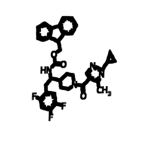 Cc1nc(C2CC2)ncc1C(=O)N1CCC(C(Cc2cc(F)c(F)cc2F)NC(=O)OCC2c3ccccc3-c3ccccc32)CC1